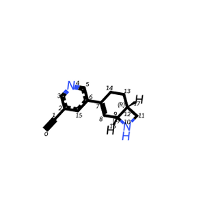 C#Cc1cncc(C2=C[C@H]3NC[C@H]3CC2)c1